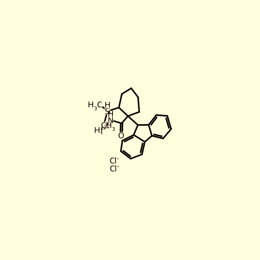 C[SiH](C)C1CCCCC1(C(=O)[NH][Hf+2])C1c2ccccc2-c2ccccc21.[Cl-].[Cl-]